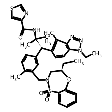 CC[C@@H]1CN(Cc2cc([C@@H](c3ccc4c(nnn4CC)c3C)C(C)(C)NC(=O)c3cscn3)ccc2C)S(=O)(=O)c2ccccc2O1